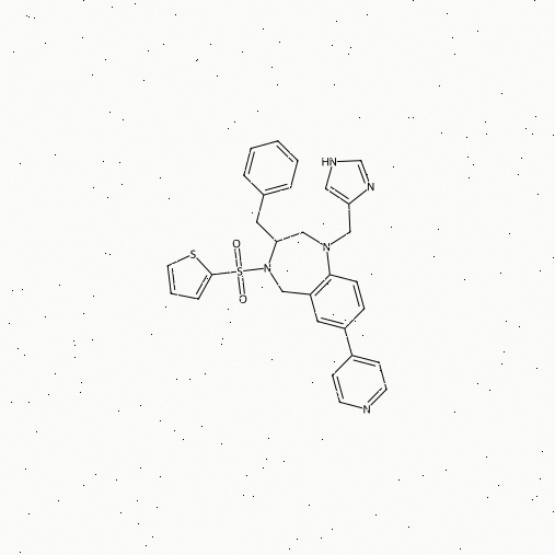 O=S(=O)(c1cccs1)N1Cc2cc(-c3ccncc3)ccc2N(Cc2c[nH]cn2)CC1Cc1ccccc1